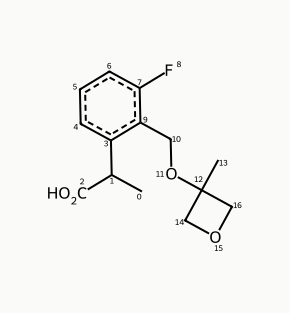 CC(C(=O)O)c1cccc(F)c1COC1(C)COC1